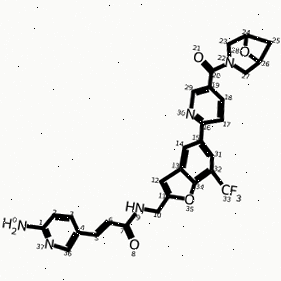 Nc1ccc(C=CC(=O)NCc2cc3cc(-c4ccc(C(=O)N5CC6CC(C5)O6)cn4)cc(C(F)(F)F)c3o2)cn1